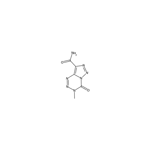 Cn1nnc2c(C(N)=O)nnn2c1=O